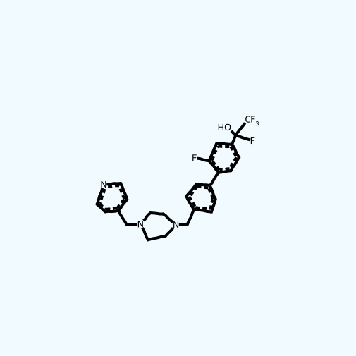 OC(F)(c1ccc(-c2ccc(CN3CCN(Cc4ccncc4)CC3)cc2)c(F)c1)C(F)(F)F